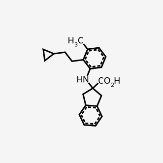 Cc1cccc(NC2(C(=O)O)Cc3ccccc3C2)c1CCC1CC1